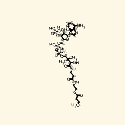 C=CCC(=O)SCCNC(=O)CCNC(=O)C(O)C(C)(C)COP(=O)(O)OP(=O)(O)OC[C@H]1O[C@@H](n2cnc3c(N)ncnc32)[C@H](O)[C@@H]1OP(=O)(O)O